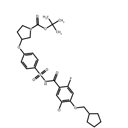 CC(C)(C)OC(=O)N1CCC(Oc2ccc(S(=O)(=O)NC(=O)c3cc(Cl)c(OCC4CCCC4)cc3F)cc2)C1